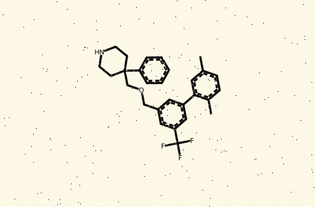 Cc1ccc(C)c(-c2cc(COCC3(c4ccccc4)CCNCC3)cc(C(F)(F)F)c2)c1